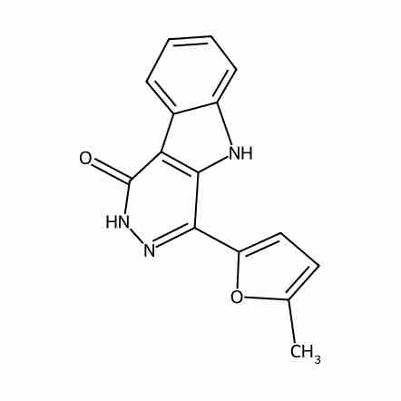 Cc1ccc(-c2n[nH]c(=O)c3c2[nH]c2ccccc23)o1